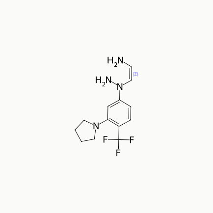 N/C=C\N(N)c1ccc(C(F)(F)F)c(N2CCCC2)c1